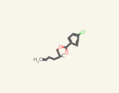 C=CCCC1COC(c2ccc(Cl)cc2)OC1